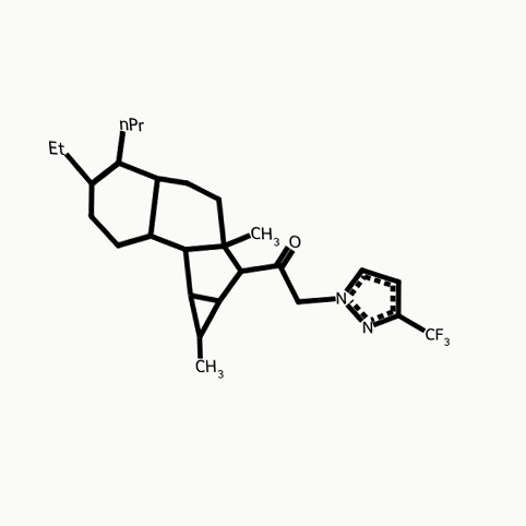 CCCC1C(CC)CCC2C1CCC1(C)C(C(=O)Cn3ccc(C(F)(F)F)n3)C3C(C)C3C21